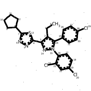 CCc1c(-c2nnc(C3CCCC3)s2)nn(-c2ccc(Cl)cc2Cl)c1-c1ccc(Cl)cc1